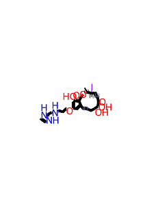 C[C@@H]1OC(=O)c2c(O)cc(OCCCNCC3NC=CN3)cc2/C=C/CC(O)C(O)C(=O)/C=C\[C@H]1I